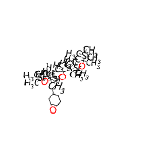 CC(O[Si](C)(CCC1CCC2OC2C1)C(C)(C)O[Si](C)(C)C)C(C)(C)[Si](C)(C)OC(C)(C)[Si](C)(C)C